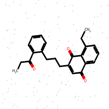 CCC(=O)c1ccccc1CCCC1=CC(=O)c2cccc(CC)c2C1=O